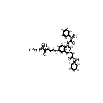 CCCCCN(C)C(=O)CCCOc1ccc2c(c1)CN(CC(=O)NN1CCCCC1)CN2NC(=O)N(CC)c1ccccc1